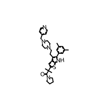 Cc1cc(C)cc(-c2[nH]c3sc(C(C)(C)C(=O)N4CCCC4)cc3c2CCN2CCN(Cc3ccncc3)CC2)c1